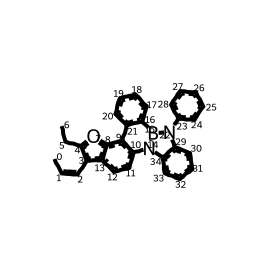 C/C=C\c1c(CC)oc2c3c(ccc12)N1B(c2ccccc2-3)N(c2ccccc2)c2ccccc21